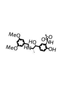 COc1cc(CN[C@@H](C)[C@H](O)c2ccc(O)c(NS(C)(=O)=O)c2)cc(OC)c1